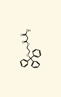 O=C(O)CC(=O)OCCOC(c1ccccc1)(c1ccccc1)c1ccccc1